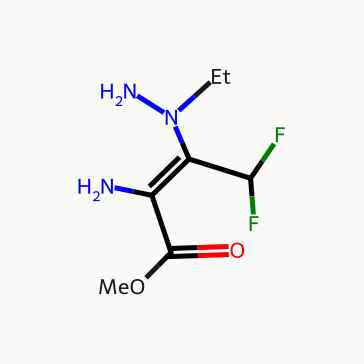 CCN(N)/C(=C(\N)C(=O)OC)C(F)F